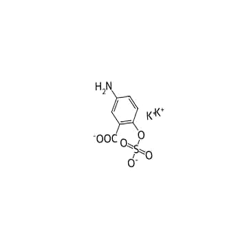 Nc1ccc(OS(=O)(=O)[O-])c(C(=O)[O-])c1.[K+].[K+]